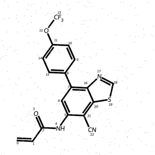 C=CC(=O)Nc1cc(-c2ccc(OC(F)(F)F)cc2)c2ncsc2c1C#N